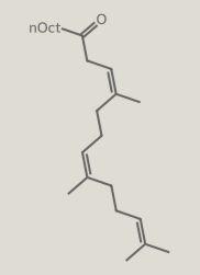 CCCCCCCCC(=O)CC=C(C)CCC=C(C)CCC=C(C)C